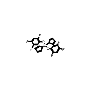 Fc1cc(F)c([O][Zr]([O]c2cc(F)c(F)cc2F)([CH]2C=CC=C2)[CH]2C=CC=C2)cc1F